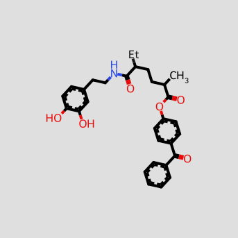 CCC(CCC(C)C(=O)Oc1ccc(C(=O)c2ccccc2)cc1)C(=O)NCCc1ccc(O)c(O)c1